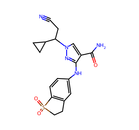 N#CCC(C1CC1)n1cc(C(N)=O)c(Nc2ccc3c(c2)CCS3(=O)=O)n1